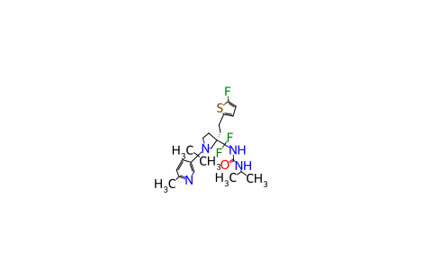 Cc1ccc(C(C)(C)N2CC[C@@](CCc3ccc(F)s3)(C(F)(F)NC(=O)NC(C)C)C2)cn1